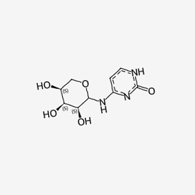 O=c1nc(NC2OC[C@H](O)[C@H](O)[C@@H]2O)cc[nH]1